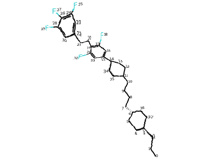 CCC[C@H]1CC[C@H](CCCCC2CCC(c3cc(F)c(CCc4cc(F)c(F)c(F)c4)c(F)c3)CC2)CC1